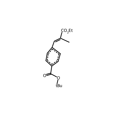 CCOC(=O)C(C)=Cc1ccc(C(=O)OC(C)(C)C)cc1